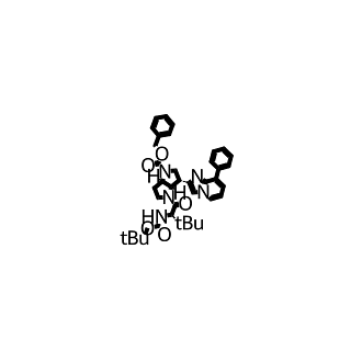 CC(C)(C)OC(=O)N[C@H](C(=O)N1CC[C@@H]2[C@H]1[C@@H](c1cn3cccc(-c4ccccc4)c3n1)CN2C(=O)OCc1ccccc1)C(C)(C)C